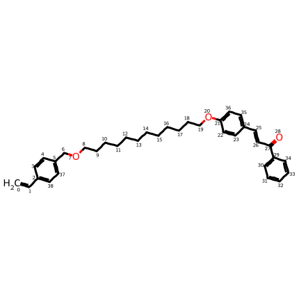 C=Cc1ccc(COCCCCCCCCCCCCOc2ccc(C=CC(=O)c3ccccc3)cc2)cc1